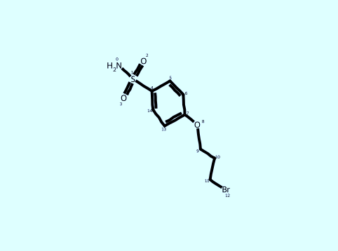 NS(=O)(=O)c1ccc(OCCCBr)cc1